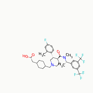 Cc1cc(F)ccc1[C@H]1CN(CC2CCC(CC(=O)O)CC2)CC[C@@H]1C(=O)N(C)[C@@H](C)c1cc(C(F)(F)F)cc(C(F)(F)F)c1